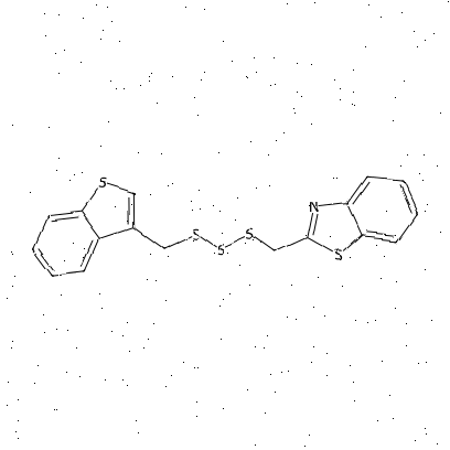 c1ccc2sc(CSSSCc3csc4ccccc34)nc2c1